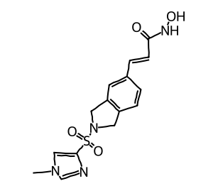 Cn1cnc(S(=O)(=O)N2Cc3ccc(C=CC(=O)NO)cc3C2)c1